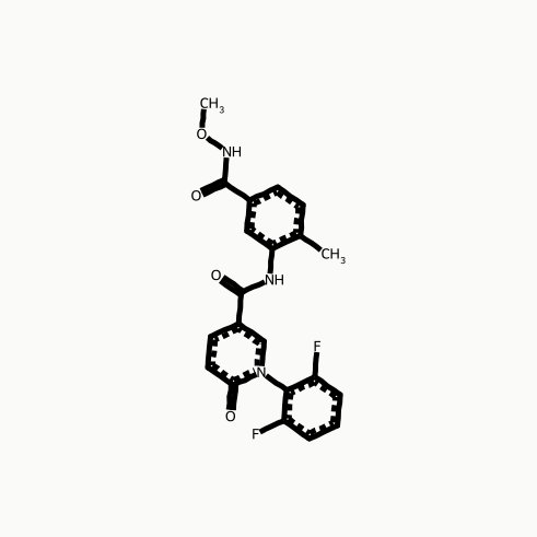 CONC(=O)c1ccc(C)c(NC(=O)c2ccc(=O)n(-c3c(F)cccc3F)c2)c1